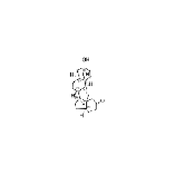 C[C@]12CC[C@@H](O)C[C@@H]1CC[C@H]1[C@@H]3CC[C@@H]4CCC(=O)CC43CC[C@@H]12